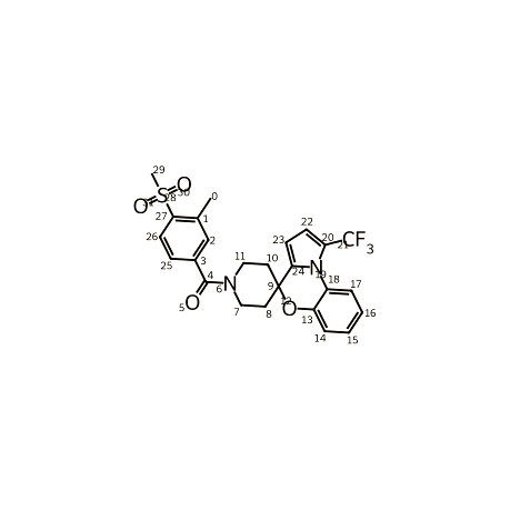 Cc1cc(C(=O)N2CCC3(CC2)Oc2ccccc2-n2c(C(F)(F)F)ccc23)ccc1S(C)(=O)=O